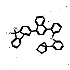 CC1(C)c2ccccc2-c2cc(-c3ccc(-c4ccccc4Nc4ccccc4C4CC5CCC4C5)c4ccccc34)ccc21